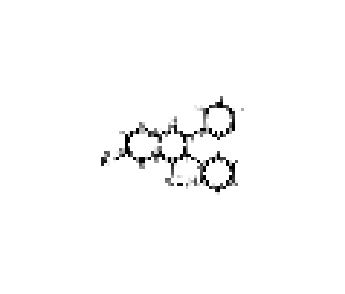 O=C(O)c1c(-c2ccccc2)c(-c2ccccc2)nc2ccc(Br)cc12